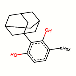 CCCCCCc1ccc(O)c(C23CC4CC(CC(C4)C2)C3)c1O